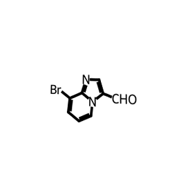 O=Cc1cnc2c(Br)cccn12